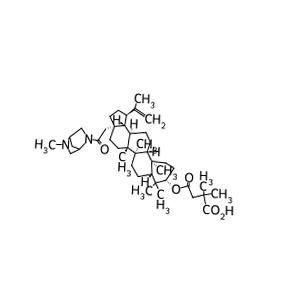 C=C(C)[C@@H]1CC[C@]2(CC(=O)N3CC4CC3CN4C)CC[C@]3(C)[C@H](CC[C@@H]4[C@@]5(C)CC[C@H](OC(=O)CC(C)(C)C(=O)O)C(C)(C)[C@@H]5CC[C@]43C)[C@@H]12